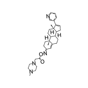 CN1CCN(CC(=O)ON=C2C=C3CC[C@H]4[C@H](CC[C@]5(C)C(c6cccnc6)=CC[C@@H]45)[C@@]3(C)CC2)CC1